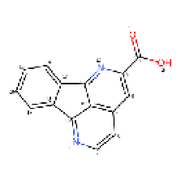 O=C(O)c1cc2ccnc3c2c(n1)-c1ccccc1-3